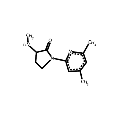 CNC1CCN(c2cc(C)cc(C)n2)C1=O